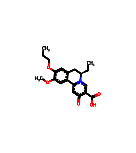 CCCOc1cc2c(cc1OC)-c1cc(=O)c(C(=O)O)cn1[C@H](CC)C2